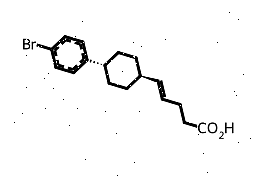 O=C(O)CCC=C[C@H]1CC[C@H](c2ccc(Br)cc2)CC1